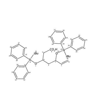 C=CC(CC(CC(=O)O)O[Si](c1ccccc1)(c1ccccc1)C(C)(C)C)O[Si](c1ccccc1)(c1ccccc1)C(C)(C)C